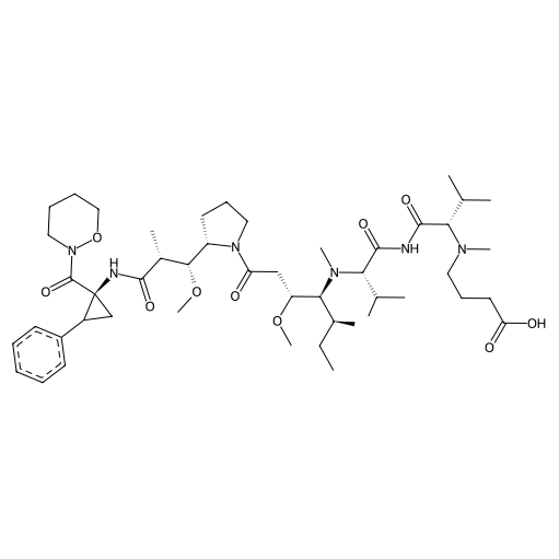 CC[C@H](C)[C@@H]([C@@H](CC(=O)N1CCC[C@H]1[C@H](OC)[C@@H](C)C(=O)N[C@@]1(C(=O)N2CCCCO2)CC1c1ccccc1)OC)N(C)[C@H](C(=O)NC(=O)[C@H](C(C)C)N(C)CCCC(=O)O)C(C)C